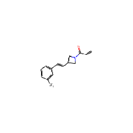 C=CC(=O)N1CC(C=Cc2cccc(C(F)(F)F)c2)C1